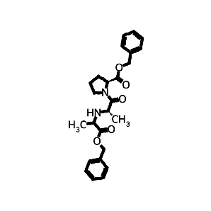 CC(N[C@@H](C)C(=O)N1CCC[C@H]1C(=O)OCc1ccccc1)C(=O)OCc1ccccc1